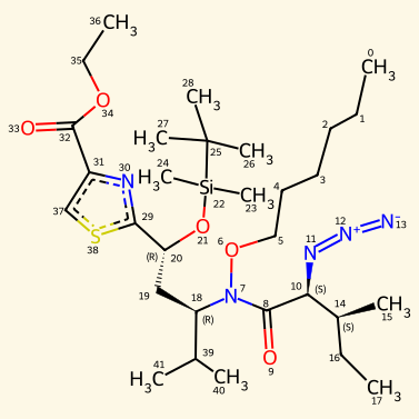 CCCCCCON(C(=O)[C@@H](N=[N+]=[N-])[C@@H](C)CC)[C@H](C[C@@H](O[Si](C)(C)C(C)(C)C)c1nc(C(=O)OCC)cs1)C(C)C